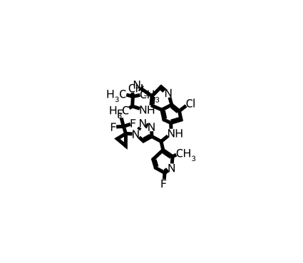 Cc1nc(F)ccc1C(Nc1cc(Cl)c2ncc(C#N)c(NC(C)C(C)(C)C)c2c1)c1cn(C2(C(F)(F)F)CC2)nn1